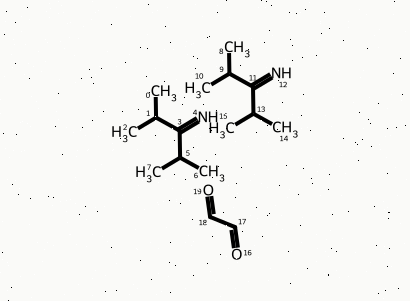 CC(C)C(=N)C(C)C.CC(C)C(=N)C(C)C.O=CC=O